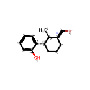 C[C@H]1/C(=C/Br)CCC[C@@H]1c1ccccc1O